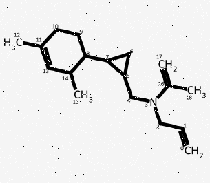 C=CCN(CC1CC1C1CCC(C)=CC1C)C(=C)C